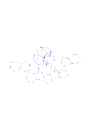 c1ccc2cc(-c3nc4ccccc4nc3-n3c4ccccc4c4ccc5c6ccccc6n(-c6nc7ccccc7nc6-c6ccc7ccccc7c6)c5c43)ccc2c1